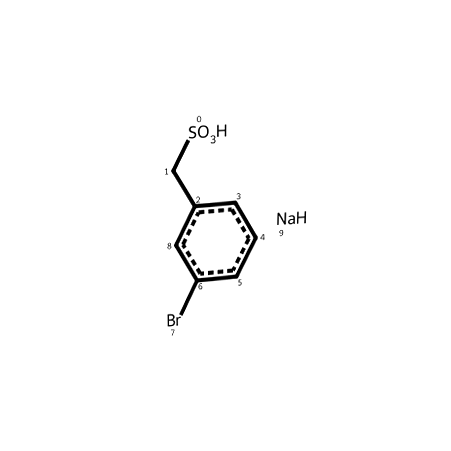 O=S(=O)(O)Cc1cccc(Br)c1.[NaH]